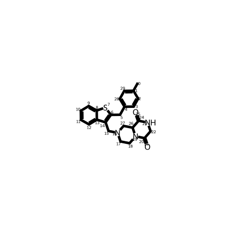 Cc1ccc(Cc2sc3ccccc3c2CN2CCN3C(=O)CNC(=O)C3C2)cc1